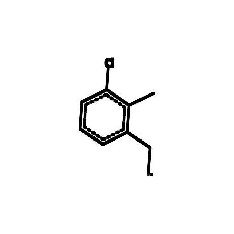 [CH2]Cc1cccc(Cl)c1C